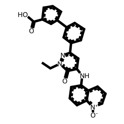 CCn1nc(-c2cccc(-c3cccc(C(=O)O)c3)c2)cc(Nc2cccc3c2ccc[n+]3[O-])c1=O